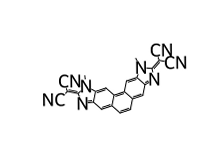 Cn1c(=C(C#N)C#N)nc2cc3ccc4cc5nc(=C(C#N)C#N)n(C)c5cc4c3cc21